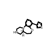 c1cc(-c2ccsc2)c2c(c1)N1CCNC[C@@H]1CCO2